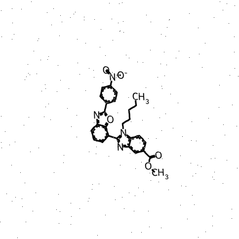 CCCCCn1c(-c2cccc3nc(-c4ccc([N+](=O)[O-])cc4)oc23)nc2cc(C(=O)OC)ccc21